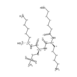 CCCCCCCCCCCCCCCC(=O)N[C@@H](CCCCCN)C(=O)N[C@@H](CCS(C)(=O)=O)C(=O)N[C@@H](CCCCCN)C(=O)O